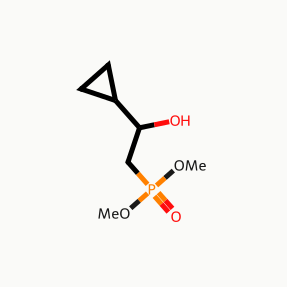 COP(=O)(CC(O)C1CC1)OC